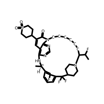 CC(F)C1CCCCCCn2c(=O)c(C3CCS(=O)(=O)CC3)cc3c(ncnc32)N[C@H](C)c2cccc(c2F)C(F)(F)C2CCN1CC2